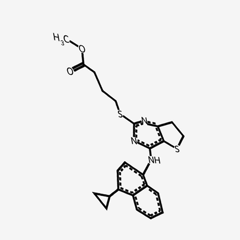 COC(=O)CCCSc1nc2c(c(Nc3ccc(C4CC4)c4ccccc34)n1)SCC2